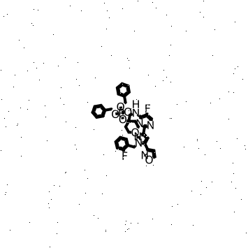 O=P(OCc1ccccc1)(OCc1ccccc1)OC1(CNc2nc(-c3cc(-c4ccon4)n(Cc4ccccc4F)n3)ncc2F)CCOCC1